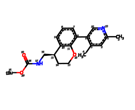 Cc1cc(C)c(-c2cccc3c2OCC[C@H]3CNC(=O)OC(C)(C)C)cn1